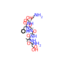 CC(C)[C@H](NC(=O)[C@@H](N)CC(=O)O)C(=O)NC(C)(C)C(=O)N[C@@H](C)C(=O)N[C@@H](Cc1ccccc1)C(=O)N[C@@H](CCCCN)C(=O)O